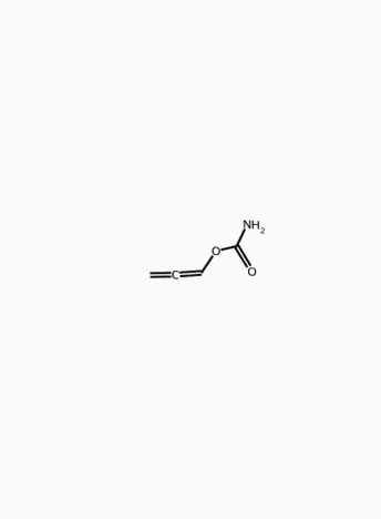 C=C=COC(N)=O